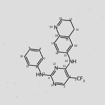 FC(F)(F)c1cnc(Nc2ccccc2)nc1Nc1ccc2c(c1)CCC=N2